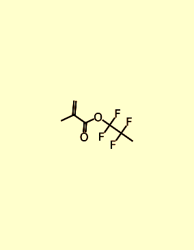 C=C(C)C(=O)OC(F)(F)C(C)(F)F